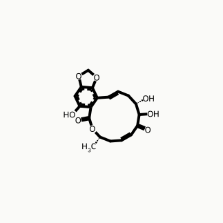 C[C@H]1C/C=C\C(=O)C(O)[C@@H](O)C/C=C/c2c3c(cc(O)c2C(=O)O1)OCO3